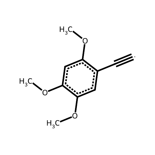 [C]#Cc1cc(OC)c(OC)cc1OC